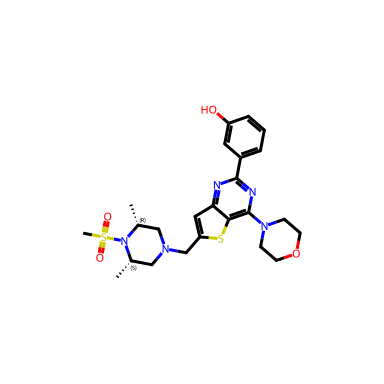 C[C@@H]1CN(Cc2cc3nc(-c4cccc(O)c4)nc(N4CCOCC4)c3s2)C[C@H](C)N1S(C)(=O)=O